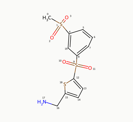 CS(=O)(=O)c1cccc(S(=O)(=O)c2ccc(CN)s2)c1